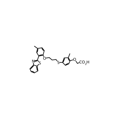 Cc1ccc(OCCCSc2ccc(OCC(=O)O)c(C)c2)c(-c2nc3ccccc3s2)c1